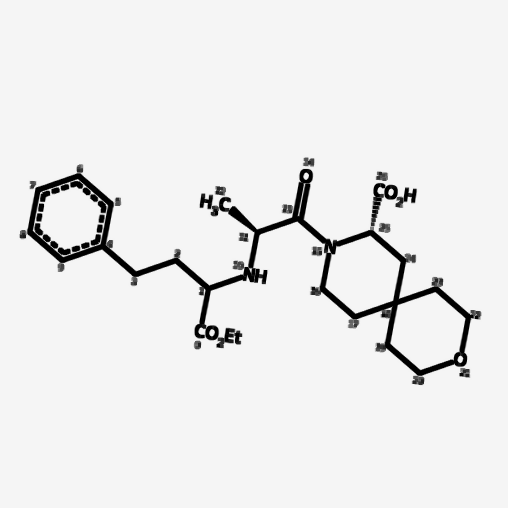 CCOC(=O)C(CCc1ccccc1)N[C@@H](C)C(=O)N1CCC2(CCOCC2)C[C@H]1C(=O)O